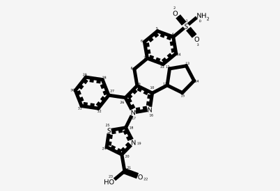 NS(=O)(=O)c1ccc(Cc2c(C3CCCC3)nn(-c3nc(C(=O)O)cs3)c2-c2ccccc2)cc1